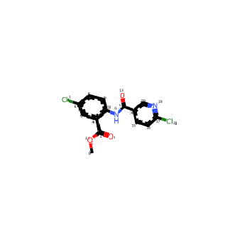 COC(=O)c1cc(Cl)ccc1NC(=O)c1ccc(Cl)nc1